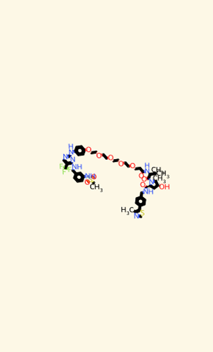 CCS(=O)(=O)Nc1cccc(CNc2nc(Nc3ccc(OCCOCCOCCOCCOCCC(=O)N[C@H](C(=O)N4C[C@H](O)C[C@H]4C(=O)NCc4ccc(-c5scnc5C)cc4)C(C)(C)C)cc3)ncc2C(F)(F)F)c1